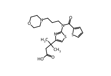 CC(C)(CC(=O)O)c1csc(N(CCCN2CCOCC2)C(=O)c2cccs2)n1